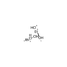 CCO.Cl.Cl.Cl.[Rh]